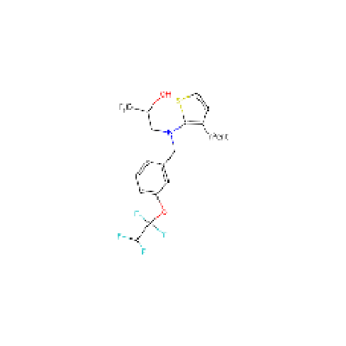 CCCCCc1ccsc1N(Cc1cccc(OC(F)(F)C(F)F)c1)CC(O)C(F)(F)F